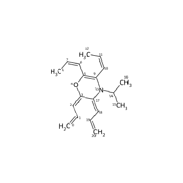 C=C/C=C1/OC(/C=C\C)=C(/C=C\C)N(C(C)C)/C1=C/C=C